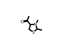 CC(=O)C1CSC(C)N1C